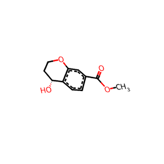 COC(=O)c1ccc2c(c1)OCC[C@H]2O